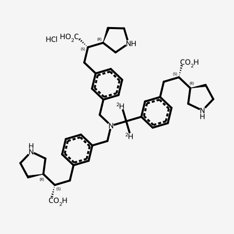 Cl.[2H]C([2H])(c1cccc(C[C@H](C(=O)O)[C@H]2CCNC2)c1)N(Cc1cccc(C[C@H](C(=O)O)[C@H]2CCNC2)c1)Cc1cccc(C[C@H](C(=O)O)[C@H]2CCNC2)c1